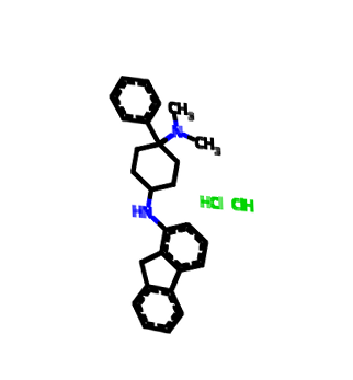 CN(C)C1(c2ccccc2)CCC(Nc2cccc3c2Cc2ccccc2-3)CC1.Cl.Cl